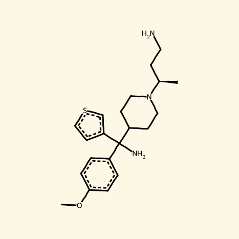 COc1ccc(C(N)(c2ccsc2)C2CCN([C@H](C)CCN)CC2)cc1